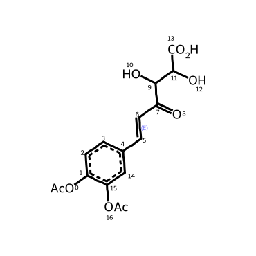 CC(=O)Oc1ccc(/C=C/C(=O)C(O)C(O)C(=O)O)cc1OC(C)=O